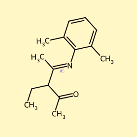 CCC(C(C)=O)/C(C)=N/c1c(C)cccc1C